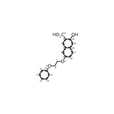 O=C(O)c1cc2cc(OCCOc3ccccc3)ccc2cc1O